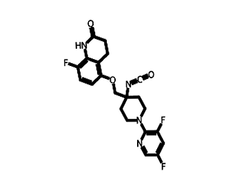 O=C=NC1(COc2ccc(F)c3c2CCC(=O)N3)CCN(c2ncc(F)cc2F)CC1